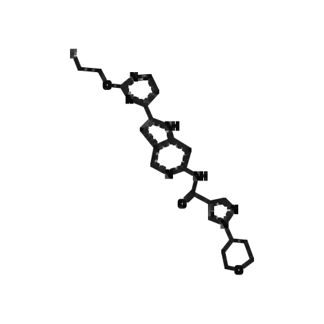 O=C(Nc1cc2[nH]c(-c3ccnc(OCCF)n3)cc2cn1)c1cnn(C2CCOCC2)c1